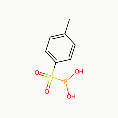 Cc1ccc(S(=O)(=O)P(O)O)cc1